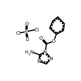 Nc1ncnn1C(=O)Oc1ccccc1.O=S(=O)(Cl)Cl